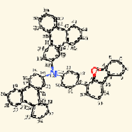 c1ccc2c(c1)oc1c(-c3ccc(N(c4ccc5c6ccccc6c6ccccc6c5c4)c4ccc5c6ccccc6c6ccccc6c5c4)cc3)cccc12